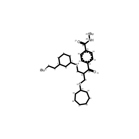 CC[C@H](C)CCC1CCCC(SCC(CSC2CCCCCC2)C(=O)c2ccc(C(=O)NC(C)(C)C)cc2)C1